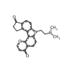 CN(C)CCn1c2ccc3c(c2c2c4occc(=O)c4ccc21)CCC3=O